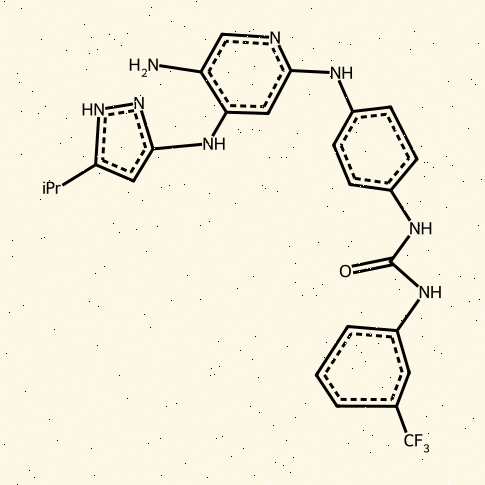 CC(C)c1cc(Nc2cc(Nc3ccc(NC(=O)Nc4cccc(C(F)(F)F)c4)cc3)ncc2N)n[nH]1